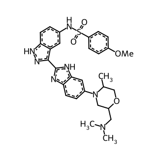 COc1ccc(S(=O)(=O)Nc2ccc3[nH]nc(-c4nc5ccc(N6CC(CN(C)C)OCC6C)cc5[nH]4)c3c2)cc1